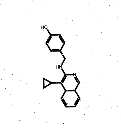 Oc1ccc(CNC2=C(C3CC3)C3C=CC=CC3C=N2)cc1